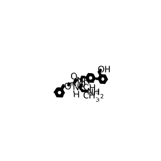 CC(C)(N)CC(=O)N[C@H](COCc1ccccc1)C(=O)NCc1ccc(-c2ccccc2CO)cc1